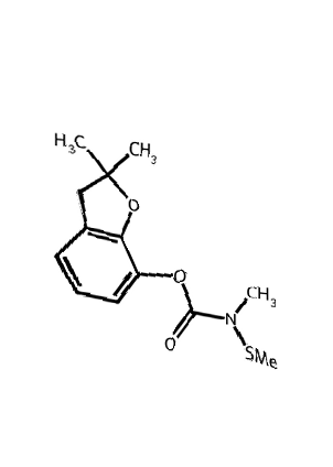 CSN(C)C(=O)Oc1cccc2c1OC(C)(C)C2